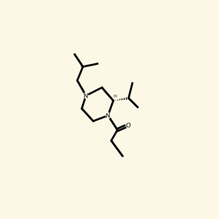 CCC(=O)N1CCN(C[C](C)C)C[C@@H]1C(C)C